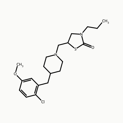 CCCN1CC(CN2CCC(Cc3cc(OC)ccc3Cl)CC2)SC1=O